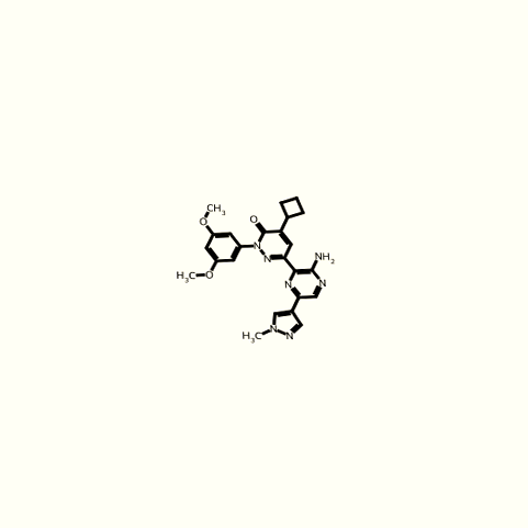 COc1cc(OC)cc(-n2nc(-c3nc(-c4cnn(C)c4)cnc3N)cc(C3CCC3)c2=O)c1